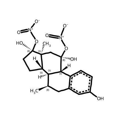 C[C@@H]1Cc2cc(O)ccc2[C@@H]2[C@@H]1[C@@H]1CC[C@@](O)(O[N+](=O)[O-])[C@@]1(C)C[C@@]2(O)O[N+](=O)[O-]